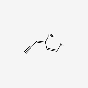 C#C/C=C(\C=C/CC)C(C)(C)C